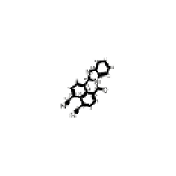 N#Cc1ccc2c(=O)n3c4ccccc4nc3c3ccc(C#N)c1c23